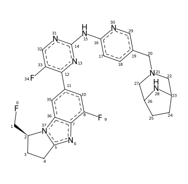 FC[C@@H]1CCc2nc3c(F)cc(-c4nc(Nc5ccc(CN6CC7CCC(C6)N7)cn5)ncc4F)cc3n21